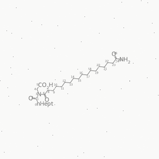 CCCCCCCC(=O)N(CC(=O)O)C(=O)CCCCCCCCCCCCCCCCC(N)=O